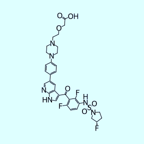 O=C(O)COCCN1CCN(c2ccc(-c3cnc4[nH]cc(C(=O)c5c(F)ccc(NS(=O)(=O)N6CC[C@@H](F)C6)c5F)c4c3)cc2)CC1